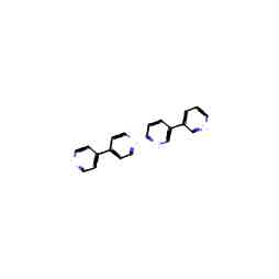 c1cncc(-c2ccc(-[n+]3ccc(-c4ccncc4)cc3)nc2)c1